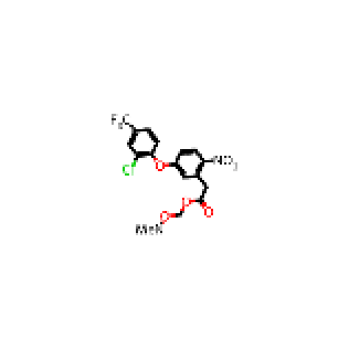 CNOCOC(=O)Cc1cc(Oc2ccc(C(F)(F)F)cc2Cl)ccc1[N+](=O)[O-]